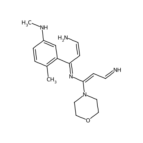 CNc1ccc(C)c(C(/C=C\N)=N/C(=C/C=N)N2CCOCC2)c1